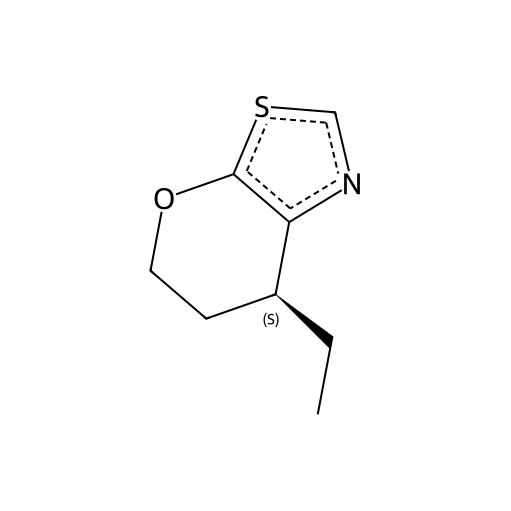 CC[C@H]1CCOc2scnc21